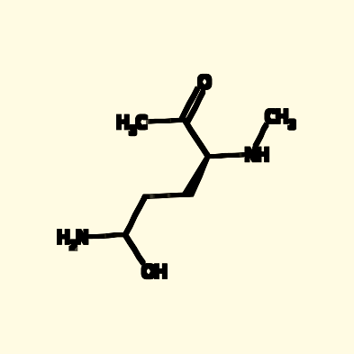 CN[C@@H](CCC(N)O)C(C)=O